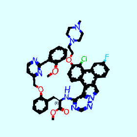 COC(=O)[C@@H](Cc1ccccc1OCc1ccnc(-c2ccccc2OC)n1)Nc1ncnn2cc3c4ccc(F)cc4c4c(Cl)c(OCCN5CCN(C)CC5)ccc4c3c12